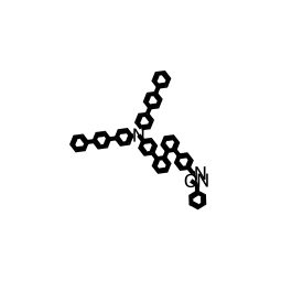 c1ccc(-c2ccc(-c3ccc(N(c4ccc(-c5ccc(-c6ccccc6)cc5)cc4)c4ccc(-c5ccccc5-c5ccccc5-c5ccc(-c6nnc(-c7ccccc7)o6)cc5)cc4)cc3)cc2)cc1